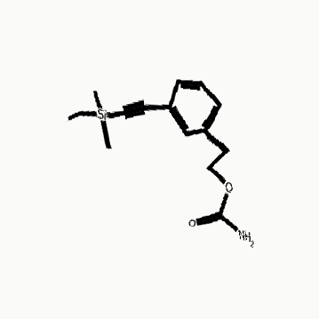 C[Si](C)(C)C#Cc1cccc(CCOC(N)=O)c1